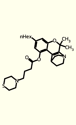 CCCCCCc1cc(OC(=O)CCCN2CCSCC2)c2c(c1)OC(C)(C)C1=C2C2CCN1CC2